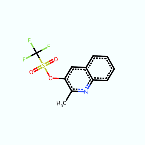 Cc1nc2ccccc2cc1OS(=O)(=O)C(F)(F)F